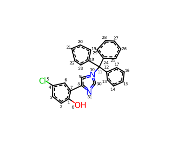 Oc1ccc(Cl)cc1-c1cn(C(c2ccccc2)(c2ccccc2)c2ccccc2)cn1